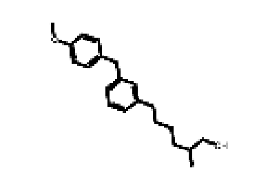 COc1ccc(Cc2cccc(CCCCC(C)CO)c2)cc1